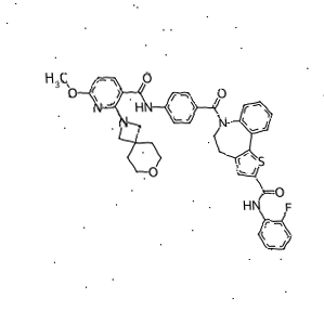 COc1ccc(C(=O)Nc2ccc(C(=O)N3CCc4cc(C(=O)Nc5ccccc5F)sc4-c4ccccc43)cc2)c(N2CC3(CCOCC3)C2)n1